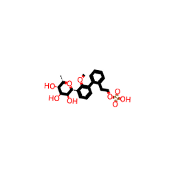 COc1c(-c2ccccc2CCOS(=O)(=O)O)cccc1[C@H]1O[C@@H](C)[C@@H](O)[C@@H](O)[C@@H]1O